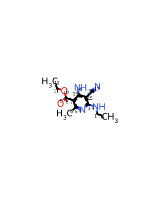 CCNc1nc(C)c(C(=O)OCC)c(N)c1C#N